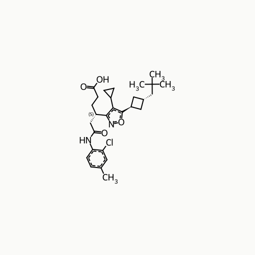 Cc1ccc(NC(=O)C[C@H](CCC(=O)O)c2noc([C@H]3C[C@H](CC(C)(C)C)C3)c2C2CC2)c(Cl)c1